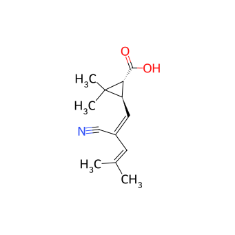 CC(C)=CC(C#N)=C[C@@H]1[C@@H](C(=O)O)C1(C)C